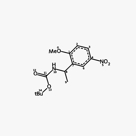 COc1ccc([N+](=O)[O-])cc1C(C)NC(=O)OC(C)(C)C